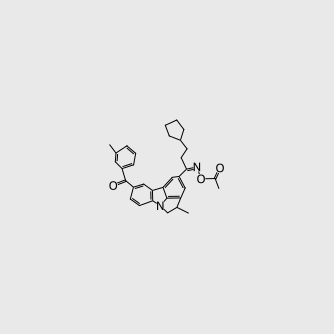 CC(=O)O/N=C(/CCC1CCCC1)c1cc2c3c(c1)c1cc(C(=O)c4cccc(C)c4)ccc1n3CC2C